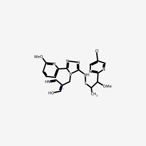 COc1cccc(-c2nnc(NSC(C)C(OC)c3ncc(Cl)cn3)n2C/C(C=N)=C/O)n1